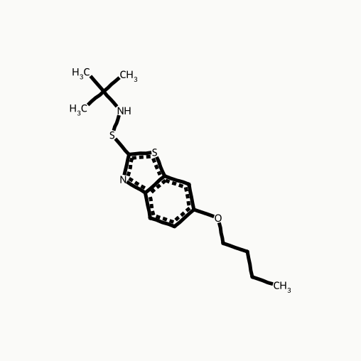 CCCCOc1ccc2nc(SNC(C)(C)C)sc2c1